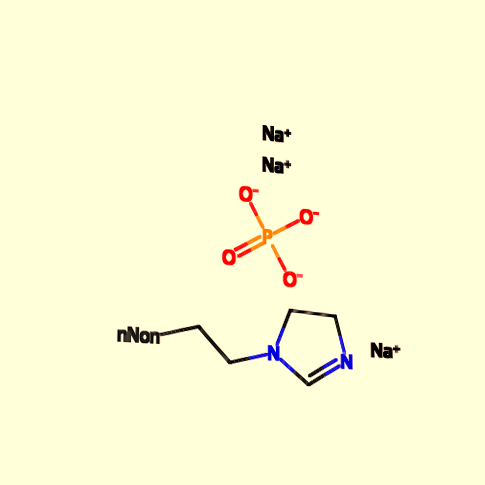 CCCCCCCCCCCN1C=NCC1.O=P([O-])([O-])[O-].[Na+].[Na+].[Na+]